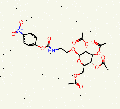 CC(=O)OC[C@H]1O[C@@H](OCCNC(=O)Oc2ccc([N+](=O)[O-])cc2)[C@H](OC(C)=O)[C@@H](OC(C)=O)[C@@H]1OC(C)=O